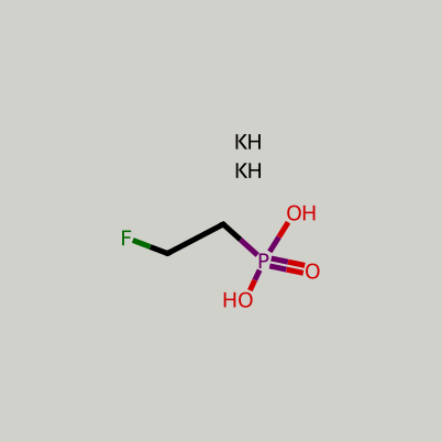 O=P(O)(O)CCF.[KH].[KH]